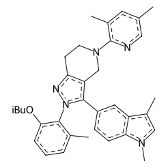 Cc1cnc(N2CCc3nn(-c4c(C)cccc4OCC(C)C)c(-c4ccc5c(c4)c(C)cn5C)c3C2)c(C)c1